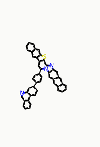 c1ccc2cc3cc4c(cc3cc2c1)nc1c2sc3cc5ccccc5cc3c2cc(-c2ccc(-c3ccc5c(c3)ncc3ccccc35)cc2)n41